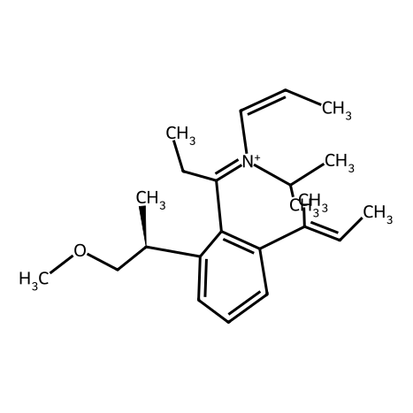 C/C=C\[N+](=C(/CC)c1c(/C(C)=C/C)cccc1[C@H](C)COC)C(C)C